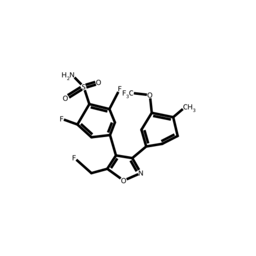 Cc1ccc(-c2noc(CF)c2-c2cc(F)c(S(N)(=O)=O)c(F)c2)cc1OC(F)(F)F